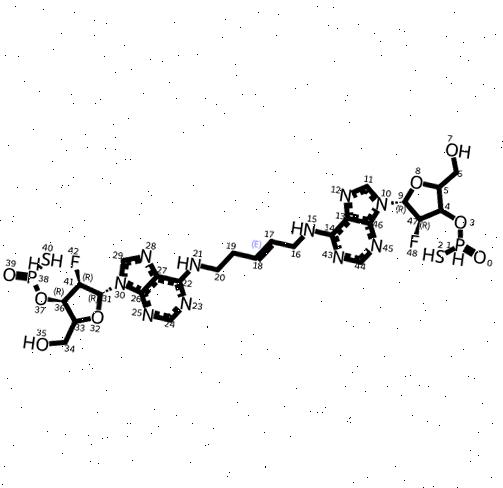 O=[PH](S)OC1C(CO)O[C@@H](n2cnc3c(NC/C=C/CCNc4ncnc5c4ncn5[C@@H]4OC(CO)[C@@H](O[PH](=O)S)[C@H]4F)ncnc32)[C@@H]1F